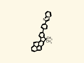 CC1(C)c2cc(-c3ccc(-c4cn5ccccc5n4)cc3)ccc2-c2c1cc1ccc3cccc4ccc2c1c34